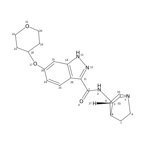 O=C(N[C@@H]1CN2CCC1CC2)c1n[nH]c2cc(OC3CCOCC3)ccc12